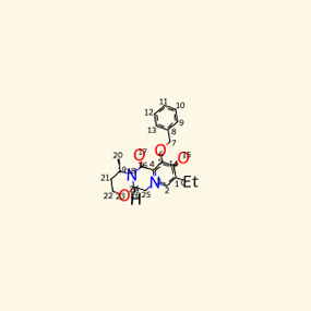 CCc1cn2c(c(OCc3ccccc3)c1=O)C(=O)N1[C@H](C)CCO[C@H]1C2